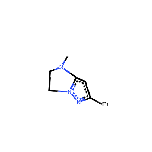 CC(C)c1cc2n(n1)CCN2C